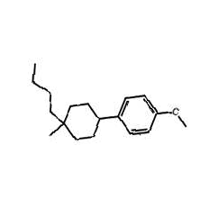 CCCCC1(C)CCC(c2ccc(OC)cc2)CC1